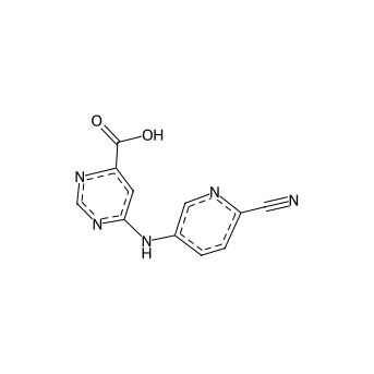 N#Cc1ccc(Nc2cc(C(=O)O)ncn2)cn1